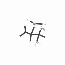 CC(C)C(C)(C)C(C)(N)N.[F][Ni][F]